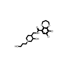 O=C(NCC1CCN(CCCO)CC1O)c1cc(Cl)c(Cl)c2c1OCCCO2